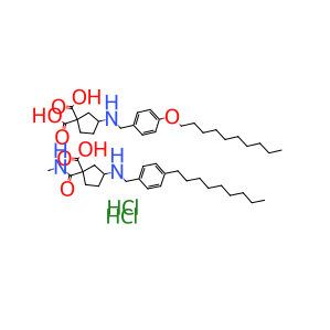 CCCCCCCCCCOc1ccc(CNC2CCC(C(=O)O)(C(=O)O)C2)cc1.CCCCCCCCCc1ccc(CNC2CCC(C(=O)O)(C(=O)NC)C2)cc1.Cl.Cl